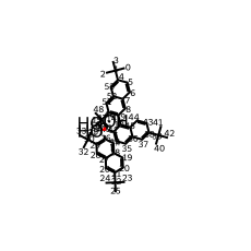 CC(C)(C)c1ccc2cc(-c3c(P(O)(O)(O)c4cc5ccc(C(C)(C)C)cc5cc4C(C)(C)C)ccc4cc(C(C)(C)C)ccc34)c(C(C)(C)C)cc2c1